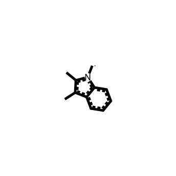 [CH2]n1c(C)c(C)c2ccccc21